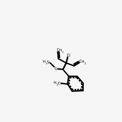 C=CC(Cl)(C=C)C(O[SiH3])c1ccccc1C